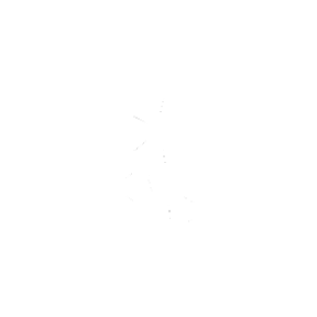 C1=CC2=C(CC1)CCc1c2ccc2c(-c3ccccc3)cccc12